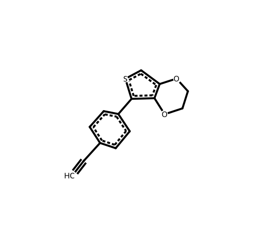 C#Cc1ccc(-c2scc3c2OCCO3)cc1